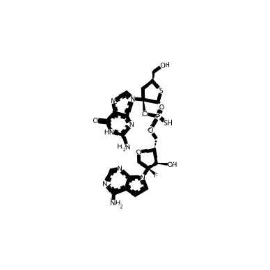 Nc1nc2c(ncn2[C@@]2(OP(=O)(S)OC[C@H]3OC[C@@](F)(n4ccc5c(N)ncnc54)[C@@H]3O)CS[C@H](CO)C2)c(=O)[nH]1